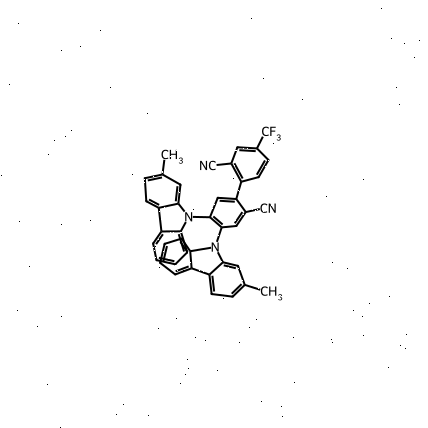 Cc1ccc2c3ccccc3n(-c3cc(C#N)c(-c4ccc(C(F)(F)F)cc4C#N)cc3-n3c4ccccc4c4ccc(C)cc43)c2c1